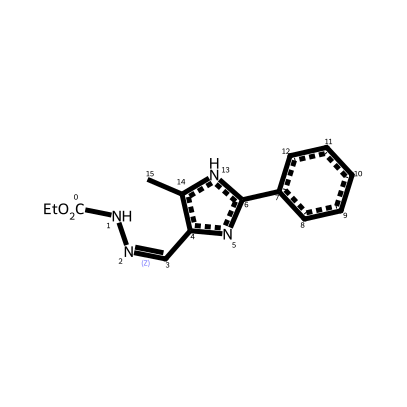 CCOC(=O)N/N=C\c1nc(-c2ccccc2)[nH]c1C